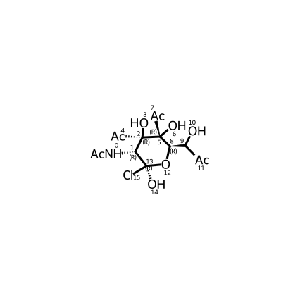 CC(=O)N[C@@H]1[C@](O)(C(C)=O)[C@@](O)(C(C)=O)[C@@H](C(O)C(C)=O)O[C@@]1(O)Cl